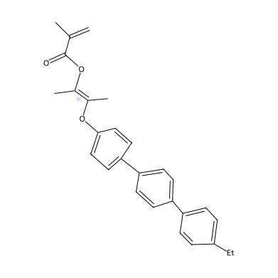 C=C(C)C(=O)O/C(C)=C(\C)Oc1ccc(-c2ccc(-c3ccc(CC)cc3)cc2)cc1